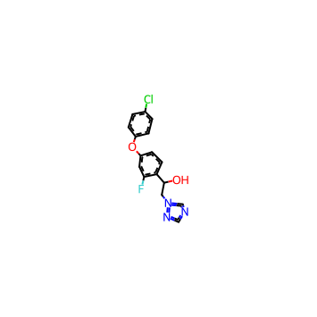 OC(Cn1cncn1)c1ccc(Oc2ccc(Cl)cc2)cc1F